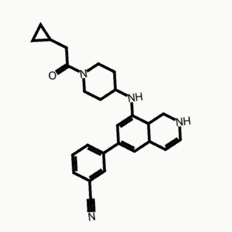 N#Cc1cccc(C2=CC3C=CNCC3C(NC3CCN(C(=O)CC4CC4)CC3)=C2)c1